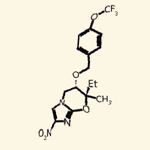 CC[C@@]1(C)Oc2nc([N+](=O)[O-])cn2C[C@@H]1OCc1ccc(OC(F)(F)F)cc1